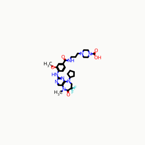 COc1cc(C(=O)NCCCN2CCN(C(=O)O)CC2)ccc1Nc1ncc2c(n1)N(C1CCCC1)CC(F)(F)C(=O)N2C